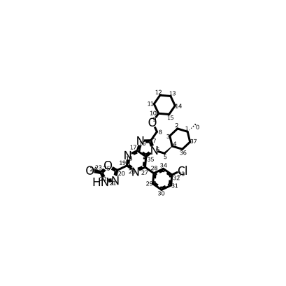 C[C@H]1CC[C@H](Cn2c(COC3CCCCC3)nc3nc(-c4n[nH]c(=O)o4)nc(-c4cccc(Cl)c4)c32)CC1